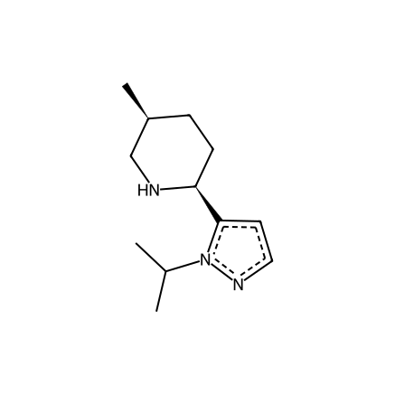 CC(C)n1nccc1[C@@H]1CC[C@H](C)CN1